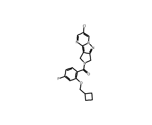 O=C(c1ccc(F)cc1OCC1CCC1)N1Cc2nn3cc(Cl)cnc3c2C1